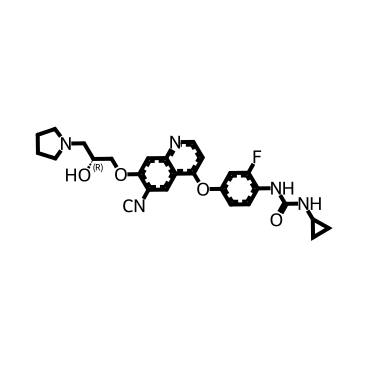 [C-]#[N+]c1cc2c(Oc3ccc(NC(=O)NC4CC4)c(F)c3)ccnc2cc1OC[C@H](O)CN1CCCC1